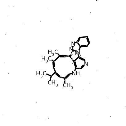 C=C1\C=C(C)/C(C)=C\C(C(C)C)=C/C(C)=C/Nc2cncc(-n3nnc4ccccc43)c21